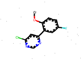 CCOc1ccc(F)cc1-c1cc(Cl)ncn1